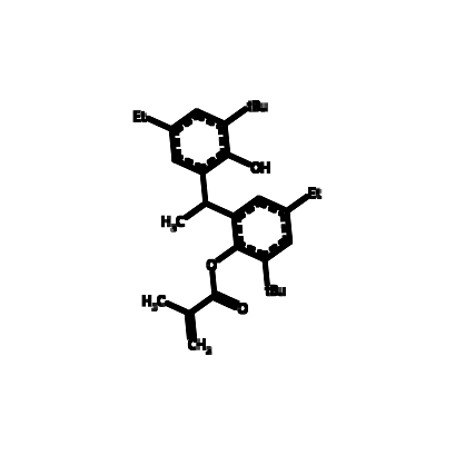 C=C(C)C(=O)Oc1c(C(C)c2cc(CC)cc(C(C)(C)C)c2O)cc(CC)cc1C(C)(C)C